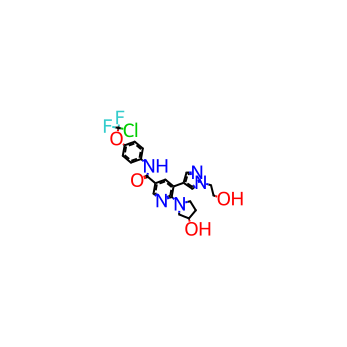 O=C(Nc1ccc(OC(F)(F)Cl)cc1)c1cnc(N2CC[C@@H](O)C2)c(-c2cnn(CCO)c2)c1